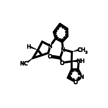 C[C@H]1N(c2ccccc2N2CC3[C@H](C#N)[C@H]3C2)C(=O)O[C@]12Nc1nocc12